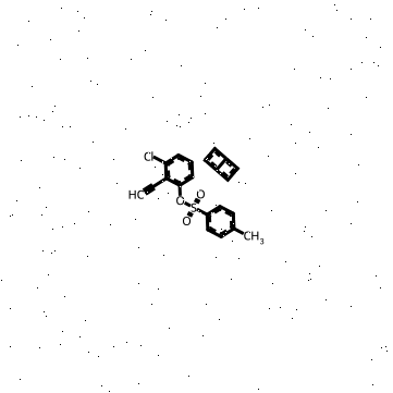 C#Cc1c(Cl)cccc1OS(=O)(=O)c1ccc(C)cc1.c1cc2ccc1-2